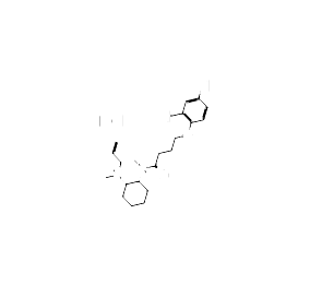 C=CCN(C)[C@@H]1CCCC[C@H]1N(C)C(=O)CCCOc1ccc(Cl)cc1Cl.Cl